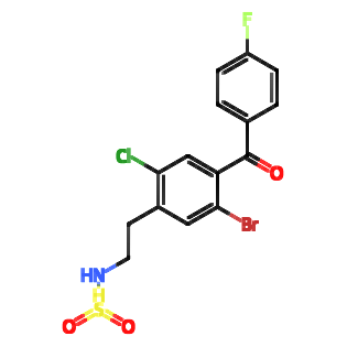 O=C(c1ccc(F)cc1)c1cc(Cl)c(CCN[SH](=O)=O)cc1Br